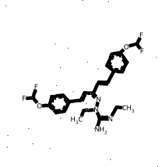 CCN=C(N)N(CC)N=C(C=Cc1ccc(OC(F)F)cc1)C=Cc1ccc(OC(F)F)cc1